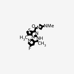 CNC1CN(C(=O)c2nc(NC(C)c3cncc(F)c3)nc3c(C)csc23)C1